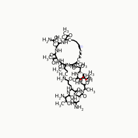 CC[C@H](C)[C@H](NC(=O)[C@H](C)NC(=O)[C@H](CC(N)=O)NC(=O)[C@H](CCC(N)=O)NC(=O)[C@@H](N)[C@@H](C)O)C(=O)N[C@@H](CC(=O)O)C(=O)N[C@@]1(C)CCC/C=C\CCC[C@@](C)(C(C)=O)NC(=O)[C@H](CC(N)=O)NC(=O)[C@H]([C@@H](C)O)NC(=O)[C@H]([C@@H](C)CC)NC1=O